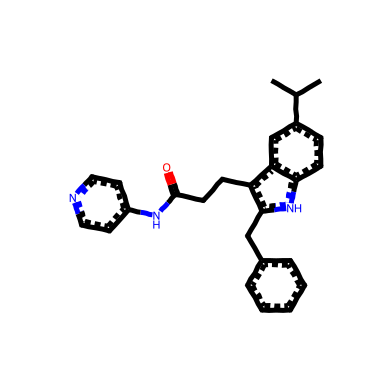 CC(C)c1ccc2[nH]c(Cc3ccccc3)c(CCC(=O)Nc3ccncc3)c2c1